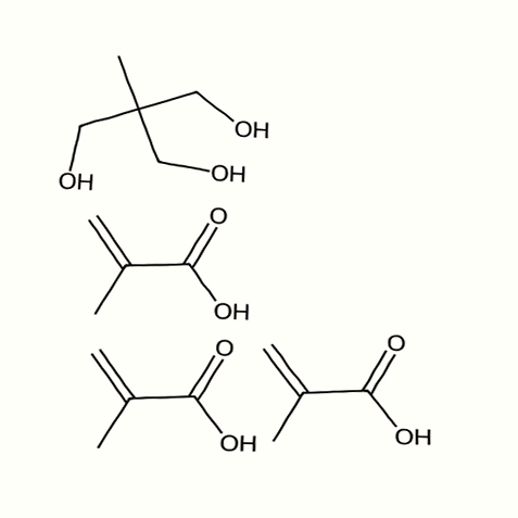 C=C(C)C(=O)O.C=C(C)C(=O)O.C=C(C)C(=O)O.CC(CO)(CO)CO